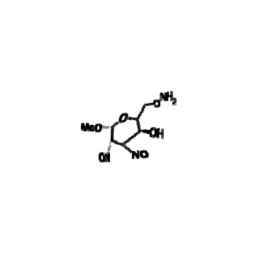 CO[C@@H]1OC(CON)[C@@H](O)C(N=O)[C@@H]1N=O